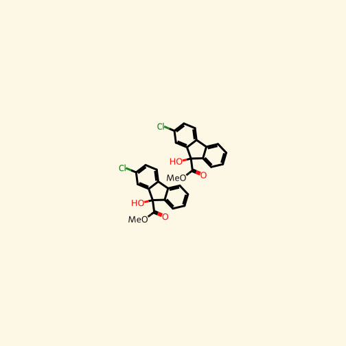 COC(=O)C1(O)c2ccccc2-c2ccc(Cl)cc21.COC(=O)C1(O)c2ccccc2-c2ccc(Cl)cc21